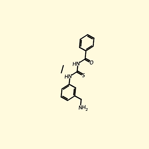 CC.NCc1cccc(NC(=S)NC(=O)c2ccccc2)c1